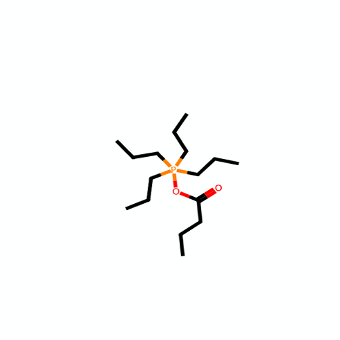 CCCC(=O)OP(CCC)(CCC)(CCC)CCC